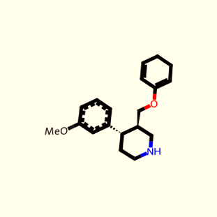 COc1cccc([C@H]2CCNC[C@@H]2COC2=CCCC=C2)c1